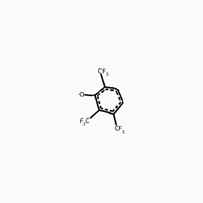 [O]c1c(C(F)(F)F)ccc(C(F)(F)F)c1C(F)(F)F